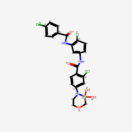 O=C(Nc1cc(NC(=O)c2ccc(N3CCOCS3(O)O)cc2Cl)ccc1Cl)c1ccc(Cl)cc1